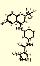 O=C(N[C@@H]1CCC[C@H](Nc2cc(C(F)(F)F)nc3ccc(F)cc23)C1)c1c[nH]nc1Cl